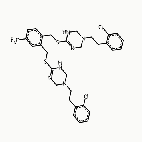 FC(F)(F)c1ccc(CSC2=NCN(CCc3ccccc3Cl)CN2)c(CSC2=NCN(CCc3ccccc3Cl)CN2)c1